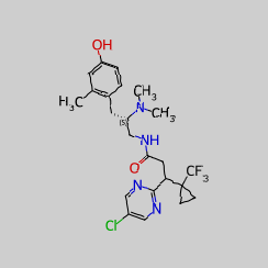 Cc1cc(O)ccc1C[C@@H](CNC(=O)CC(c1ncc(Cl)cn1)C1(C(F)(F)F)CC1)N(C)C